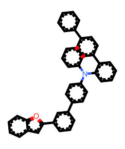 c1ccc(-c2ccc(-c3ccccc3N(c3ccccc3)c3ccc(-c4cccc(-c5cc6ccccc6o5)c4)cc3)cc2)cc1